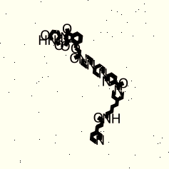 O=C(/C=C/c1cccnc1)NCCCCC1CCN(C(=O)c2ccc(N3CCC(N4CCN(C(=O)COc5cccc6c5C(=O)N(C5CCC(=O)NC5=O)C6=O)CC4)CC3)nc2)CC1